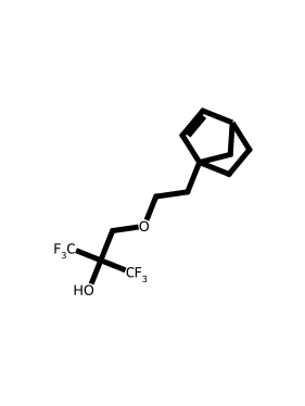 OC(COCCC12C=CC(CC1)C2)(C(F)(F)F)C(F)(F)F